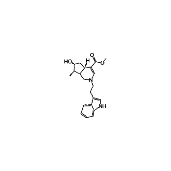 COC(=O)C1=CN(CCc2c[nH]c3ccccc23)CC2[C@@H]1C[C@H](O)[C@@H]2C